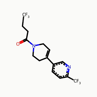 O=C(CCC(F)(F)F)N1CC=C(c2ccc(C(F)(F)F)nc2)CC1